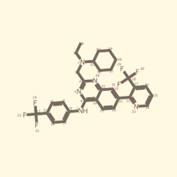 CCN(Cc1nc(Nc2ccc(C(F)(F)F)cc2)c2ccc(-c3ncccc3C(F)(F)F)cc2n1)C1CCCCC1